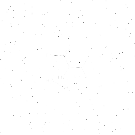 CC(C)C(N)C(=O)O.NN